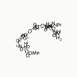 COc1ccc(C[C@H]2NC(=O)/C=C/C[C@@H]([C@H](C)[C@@H]3O[C@H]3c3ccc(CNC(=O)OCc4ccc(NC(=O)[C@H](CCCNC(N)=O)NC(=O)C(N)C(C)C)cc4)cc3)OC(=O)[C@H](CC(C)C)OC(=O)C(C)(C)CNC2=O)cc1Cl